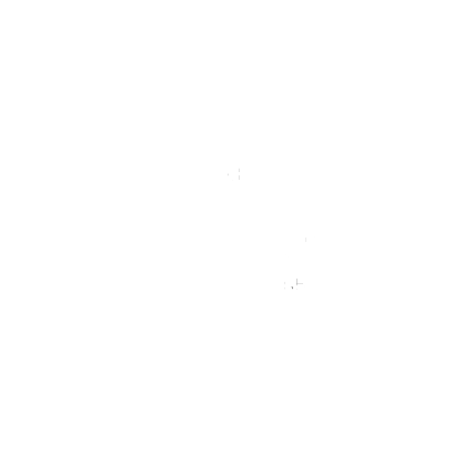 [CH2]C(C=C)c1cc(Cl)cc(C(N)=O)c1